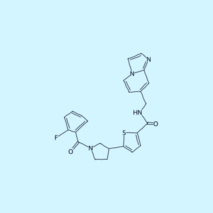 O=C(NCc1ccn2ccnc2c1)c1ccc(C2CCN(C(=O)c3ccccc3F)C2)s1